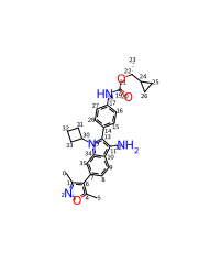 Cc1noc(C)c1-c1ccc2c(N)c(-c3ccc(NC(=O)O[C@H](C)C4CC4)cc3)n(C3CCC3)c2c1